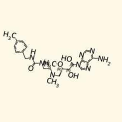 CO[C@H](CN(C)CCNC(=O)NCc1ccc(C)cc1)[C@@H](O)[C@@H](O)n1cnc2c(N)ncnc21